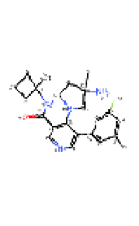 CCC1(NC(=O)c2cncc(-c3cc(C)cc(F)c3)c2N2CC[C@](C)(N)C2)CCC1